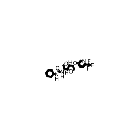 O=C(NC1CCCCC1)N[C@H]1CO[C@H]2[C@@H]1OC[C@@H]2Oc1ccc(C(F)(F)F)nc1